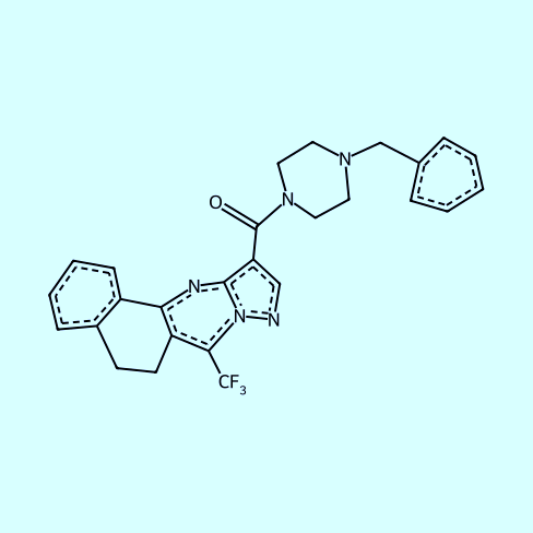 O=C(c1cnn2c(C(F)(F)F)c3c(nc12)-c1ccccc1CC3)N1CCN(Cc2ccccc2)CC1